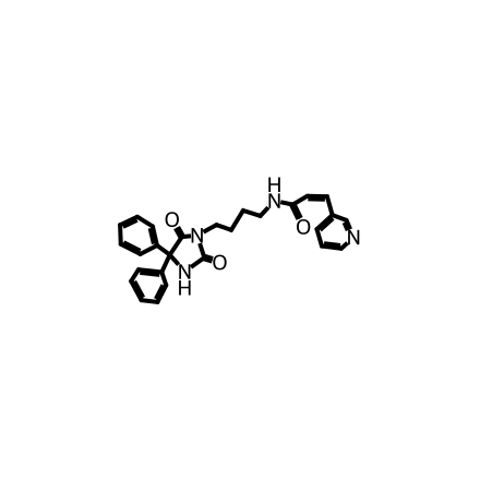 O=C(/C=C\c1cccnc1)NCCCCN1C(=O)NC(c2ccccc2)(c2ccccc2)C1=O